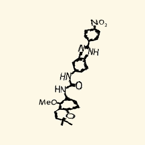 COc1c(NC(=O)Nc2ccc3[nH]c(-c4ccc([N+](=O)[O-])cc4)nc3c2)ccc2c1C=CC(C)(C)O2